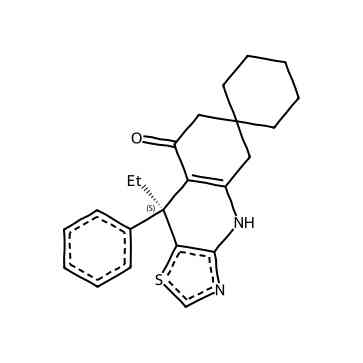 CC[C@]1(c2ccccc2)C2=C(CC3(CCCCC3)CC2=O)Nc2ncsc21